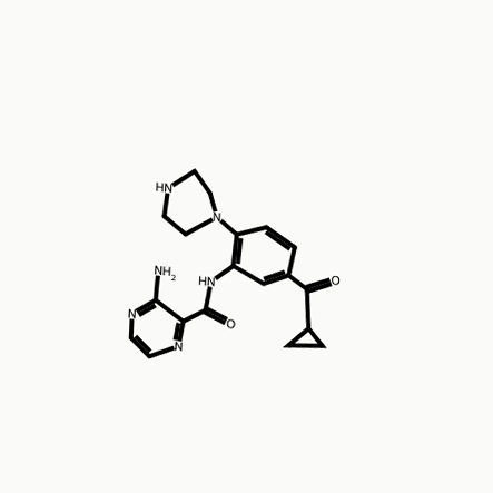 Nc1nccnc1C(=O)Nc1cc(C(=O)C2CC2)ccc1N1CCNCC1